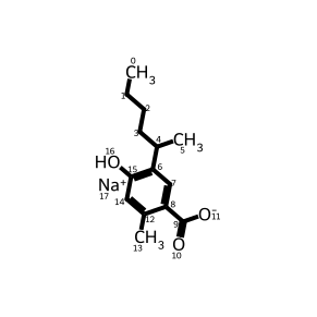 CCCCC(C)c1cc(C(=O)[O-])c(C)cc1O.[Na+]